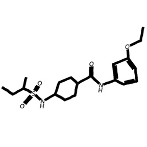 CCOc1cccc(NC(=O)C2CCC(NS(=O)(=O)C(C)CC)CC2)c1